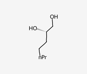 CCCCC[C@H](O)CO